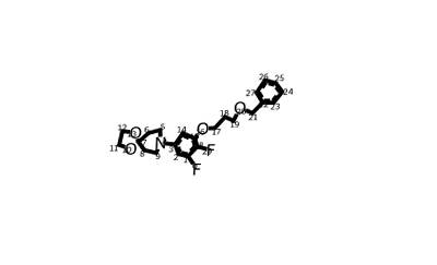 Fc1cc(N2CCC3(CC2)OCCO3)cc(OCCCOCc2ccccc2)c1F